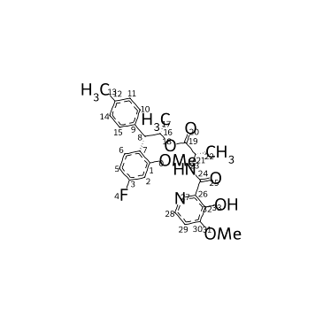 COc1cc(F)ccc1[C@H](c1ccc(C)cc1)[C@H](C)OC(=O)[C@H](C)NC(=O)c1nccc(OC)c1O